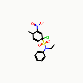 CCN(c1ccccc1)S(=O)(=O)C1(Cl)C=CC(C)C([N+](=O)[O-])=C1